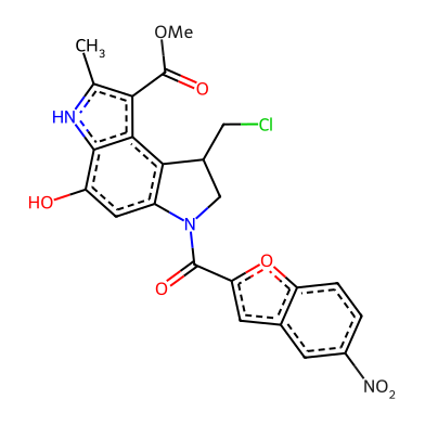 COC(=O)c1c(C)[nH]c2c(O)cc3c(c12)C(CCl)CN3C(=O)c1cc2cc([N+](=O)[O-])ccc2o1